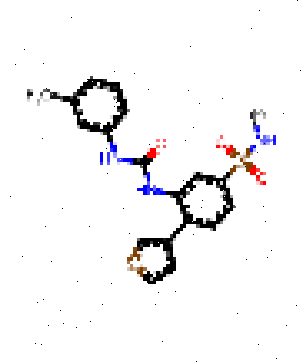 CC(C)NS(=O)(=O)c1ccc(-c2ccsc2)c(NC(=O)Nc2cccc(C(F)(F)F)c2)c1